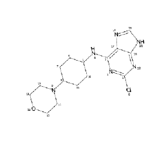 Clc1nc(NC2CCC(N3CCOCC3)CC2)c2nc[nH]c2n1